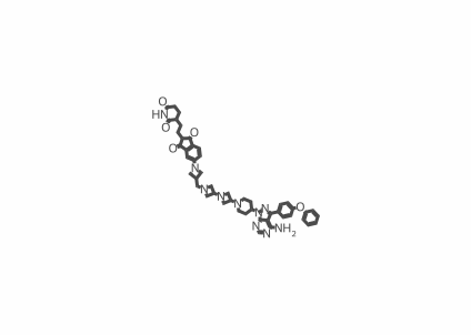 Nc1ncnc2c1c(-c1ccc(Oc3ccccc3)cc1)nn2C1CCN(C2CN(C3CN(CC4CN(c5ccc6c(c5)C(=O)C(CCC5CCC(=O)NC5=O)C6=O)C4)C3)C2)CC1